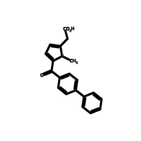 Cn1c(CC(=O)O)ccc1C(=O)c1ccc(-c2ccccc2)cc1